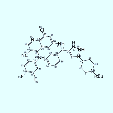 CC(C)(C)N1CCC(N2C=C([C@@H](Nc3cc(Cl)c4ncc(C#N)c(Nc5ccc(F)c(F)c5)c4c3)c3ccccc3)NN2)CC1